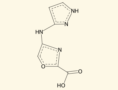 O=C(O)c1nc(Nc2cc[nH]n2)co1